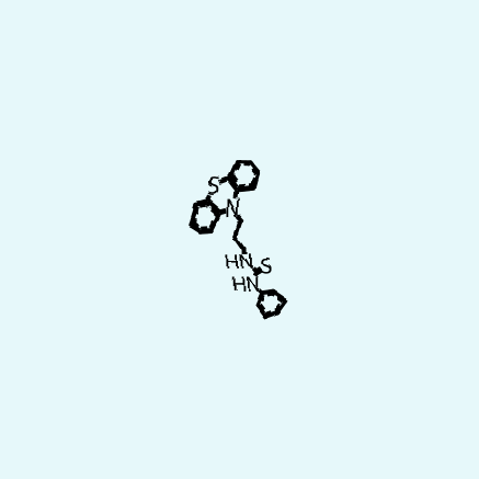 S=C(NCCCN1c2ccccc2Sc2ccccc21)Nc1ccccc1